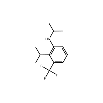 CC(C)Nc1cccc(C(F)(F)F)c1C(C)C